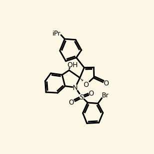 CC(C)c1ccc(C2=CC(=O)O[C@]23[C@@H](O)c2ccccc2N3S(=O)(=O)c2ccccc2Br)cc1